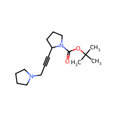 CC(C)(C)OC(=O)N1CCCC1C#CCN1CCCC1